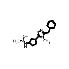 CB(O)NC1CCC(c2nnc(Cc3ccccc3)n2C)C1